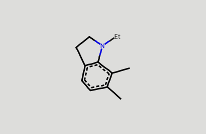 CCN1CCc2ccc(C)c(C)c21